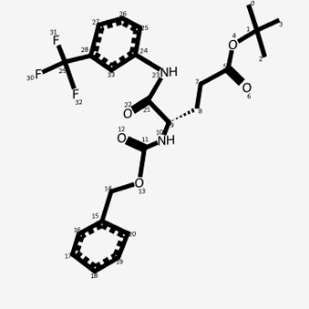 CC(C)(C)OC(=O)CC[C@H](NC(=O)OCc1ccccc1)C(=O)Nc1cccc(C(F)(F)F)c1